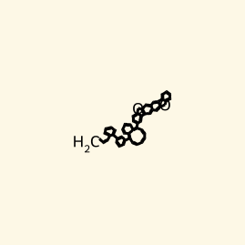 C=C/C=C\c1ccccc1-c1cccc(-c2ccccccc(-c3ccc4oc5cc6cc7c(cc6cc5c4c3)oc3ccccc37)c3ccccc23)c1